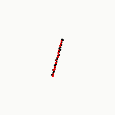 CC(C)=CCC/C(C)=C/C=C/C(C)=C/C=C/C(C)=C/C=C/C=C(\C)CC/C=C(\C)CC/C=C(\C)CCC=C(C)C